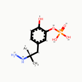 CC(=O)[C@](C)(Cc1ccc(O)c(OP(=O)(O)O)c1)NN